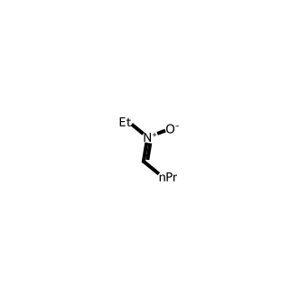 CCCC=[N+]([O-])CC